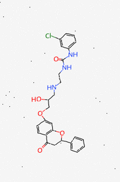 O=C(NCCNCC(O)COc1ccc2c(c1)OC(c1ccccc1)CC2=O)Nc1cccc(Cl)c1